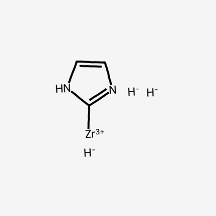 [H-].[H-].[H-].[Zr+3][c]1ncc[nH]1